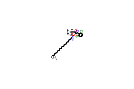 CCCCCCCCCCCCCCCCCCNC(=O)Oc1c(-c2c(F)cccc2Cl)noc1C(C)C